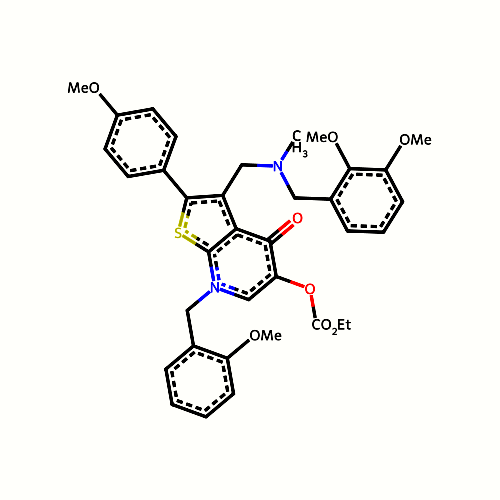 CCOC(=O)Oc1cn(Cc2ccccc2OC)c2sc(-c3ccc(OC)cc3)c(CN(C)Cc3cccc(OC)c3OC)c2c1=O